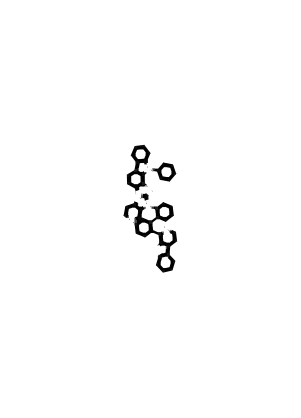 c1ccc(-n2c3ccccc3c3ccc4c(nc5n(-c6ccccc6-c6ccccc6-c6nccc7c6sc6ccccc67)c6cnccc6n45)c32)cc1